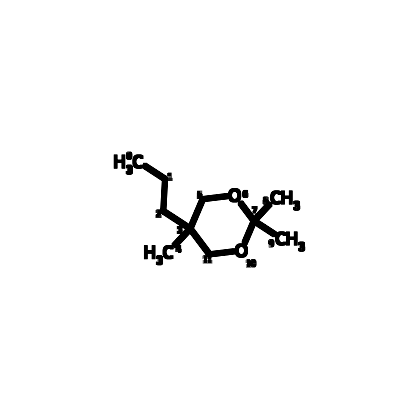 CCCC1(C)COC(C)(C)OC1